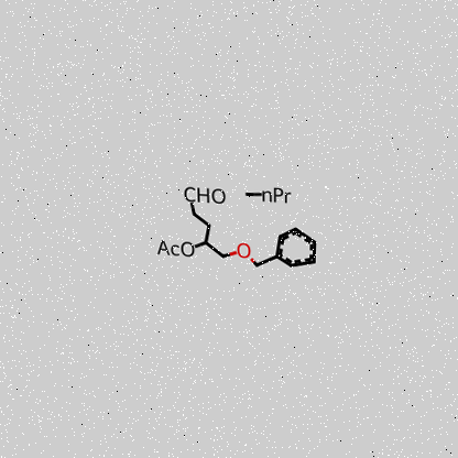 CC(=O)OC(CCC=O)COCc1ccccc1.CCCC